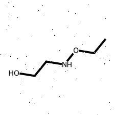 CCONCCO